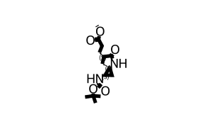 COC(=O)CC[C@H]1C[C@@]2(C[C@@H]2NC(=O)OC(C)(C)C)NC1=O